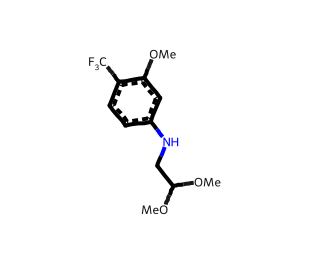 COc1cc(NCC(OC)OC)ccc1C(F)(F)F